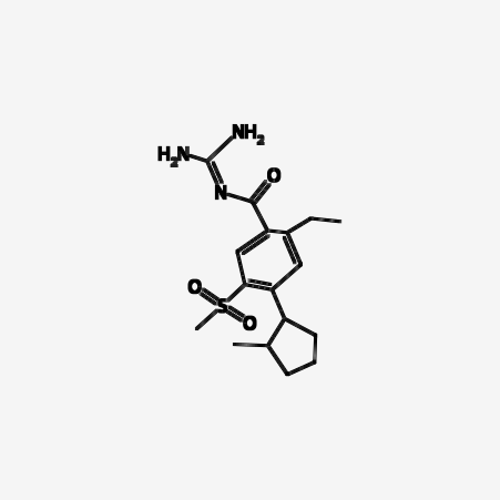 CCc1cc(C2CCCC2C)c(S(C)(=O)=O)cc1C(=O)N=C(N)N